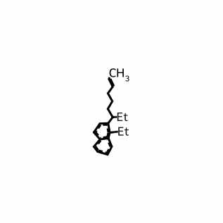 CC=CCCCC(CC)c1ccc2ccccc2c1CC